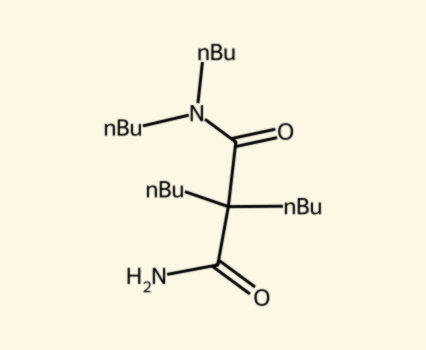 CCCCN(CCCC)C(=O)C(CCCC)(CCCC)C(N)=O